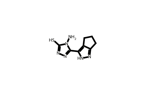 Nn1c(S)nnc1-c1[nH]nc2c1CCC2